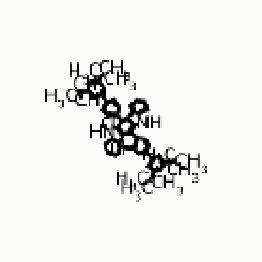 CC(C)(C)c1cc(-c2ccc(-c3c4[nH]c5ccccc5c4c(-c4ccc(-c5cc(C(C)(C)C)cc(C(C)(C)C)c5)cc4Cl)c4[nH]c5ccccc5c34)c(Cl)c2)cc(C(C)(C)C)c1